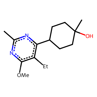 CCc1c(OC)nc(C)nc1C1CCC(C)(O)CC1